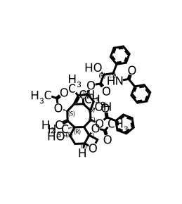 C=C1[C@H](OC(C)=O)C2=C(C)[C@@H](OC(=O)[C@H](O)[C@@H](NC(=O)c3ccccc3)c3ccccc3)C[C@@](O)([C@@H](OC(=O)c3ccccc3)C3[C@@]1(C)[C@@H](O)C[C@H]1OC[C@@]31OC(C)=O)C2(C)C